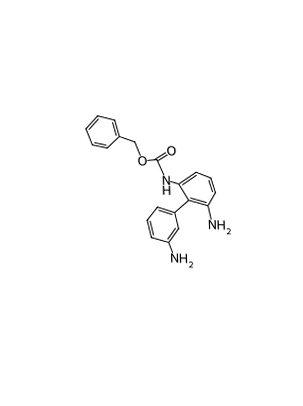 Nc1cccc(-c2c(N)cccc2NC(=O)OCc2ccccc2)c1